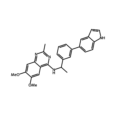 COc1cc2nc(C)nc(NC(C)c3cccc(-c4ccc5[nH]ccc5c4)c3)c2cc1OC